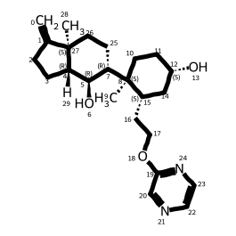 C=C1CC[C@H]2[C@H](O)[C@@H]([C@@]3(C)CC[C@H](O)C[C@@H]3CCOc3cnccn3)CC[C@]12C